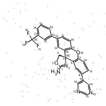 NC1=N[C@@]2(CO1)c1cc(-c3cncnc3)ccc1Oc1ccc(-c3cccc(C(F)(F)F)c3)cc12